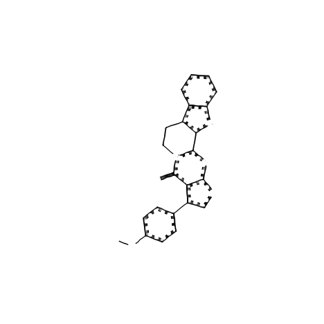 COc1ccc(-c2csc3nc4n(c(=O)c23)CCc2c-4[nH]c3ccccc23)cc1